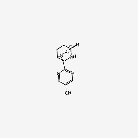 N#Cc1cnc(N2C[C@@H]3CCC2CN3)nc1